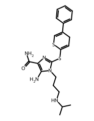 CC(C)NCCCn1c(SC2=CCC(c3ccccc3)=CS2)nc(C(N)=O)c1N